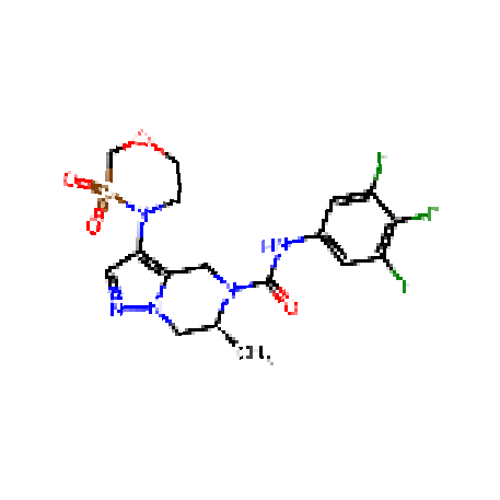 C[C@H]1Cn2ncc(N3CCOCS3(=O)=O)c2CN1C(=O)Nc1cc(F)c(F)c(F)c1